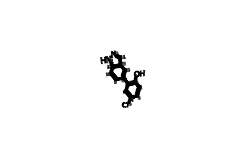 Oc1ccc(Cl)cc1-c1ccc2[nH]ncc2c1